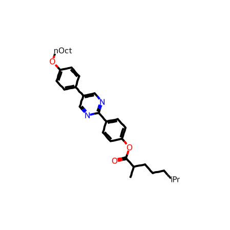 CCCCCCCCOc1ccc(-c2cnc(-c3ccc(OC(=O)C(C)CCCC(C)C)cc3)nc2)cc1